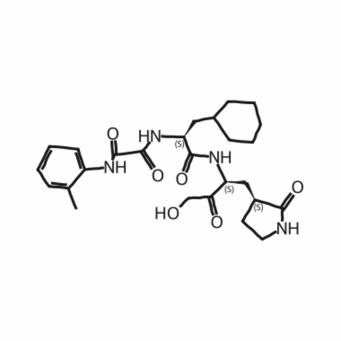 Cc1ccccc1NC(=O)C(=O)N[C@@H](CC1CCCCC1)C(=O)N[C@@H](C[C@@H]1CCNC1=O)C(=O)CO